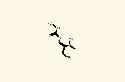 CCC(=NOC(=O)NC)[S+](C)[O-]